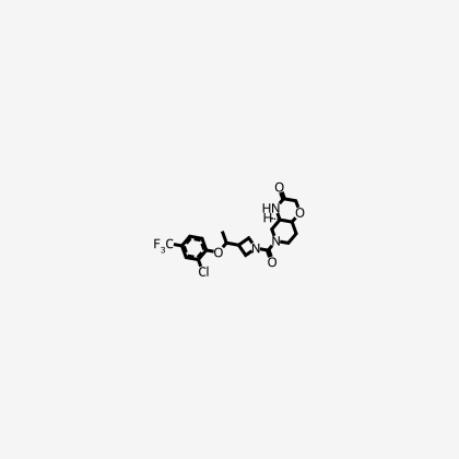 CC(Oc1ccc(C(F)(F)F)cc1Cl)C1CN(C(=O)N2CCC3OCC(=O)N[C@@H]3C2)C1